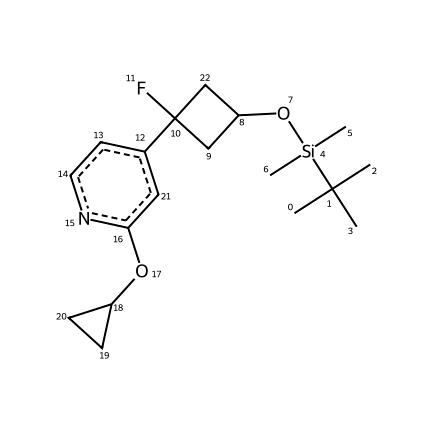 CC(C)(C)[Si](C)(C)OC1CC(F)(c2ccnc(OC3CC3)c2)C1